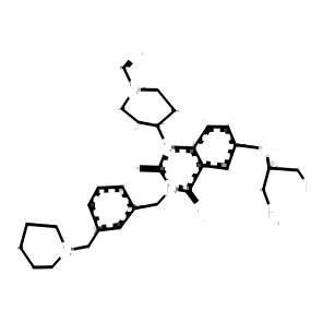 O=CN1CCC(n2c(=O)n(Cc3cccc(CN4CCCCC4)c3)c(=O)c3cc(OC(CF)CF)ccc32)CC1